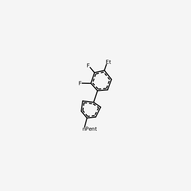 CCCCCc1ccc(-c2ccc(CC)c(F)c2F)cc1